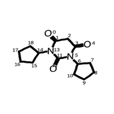 O=C1CC(=O)N(C2CCCC2)C(=O)N1C1CCCC1